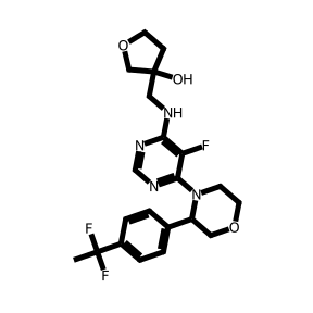 CC(F)(F)c1ccc(C2COCCN2c2ncnc(NCC3(O)CCOC3)c2F)cc1